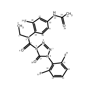 CCN(C(=O)n1nnn(-c2c(F)cccc2F)c1=O)c1ccc(NC(C)=O)cc1F